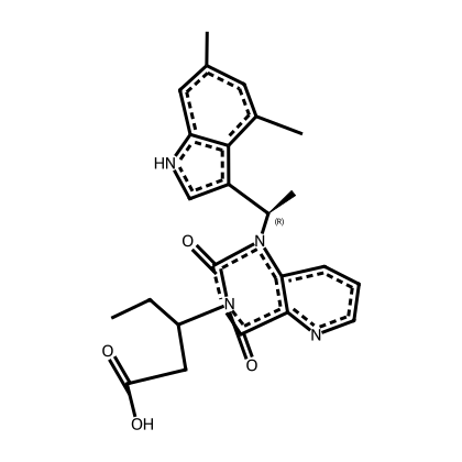 CCC(CC(=O)O)n1c(=O)c2ncccc2n([C@H](C)c2c[nH]c3cc(C)cc(C)c23)c1=O